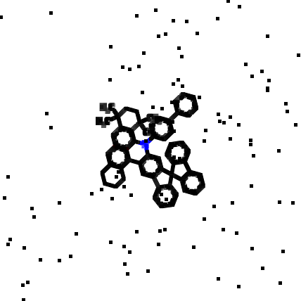 CC1(C)CCC(C)(C)c2c(N(c3ccc(-c4ccccc4)cc3)c3cc4c(cc3-c3cccc5c3CCCC5)-c3ccccc3C43c4ccccc4-c4ccccc43)cccc21